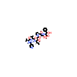 CC[C@H](C)[C@@H]([C@@H](CC(=O)N1CCC[C@H]1[C@H](OC)[C@@H](C)C(=O)N[C@H](C(=O)OC)[C@@H](O)c1ccccc1)OC)N(C)C(=O)[C@@H](NC(=O)[C@H](C(C)C)N(C)Cc1ccncc1)C(C)C